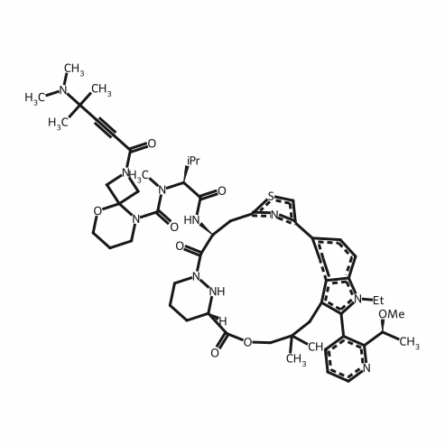 CCn1c(-c2cccnc2[C@H](C)OC)c2c3cc(ccc31)-c1csc(n1)C[C@H](NC(=O)[C@H](C(C)C)N(C)C(=O)N1CCCOC13CN(C(=O)C#CC(C)(C)N(C)C)C3)C(=O)N1CCC[C@H](N1)C(=O)OCC(C)(C)C2